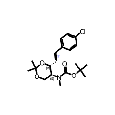 CN(C(=O)OC(C)(C)C)[C@H]1COC(C)(C)O[C@@H]1/C=C/c1ccc(Cl)cc1